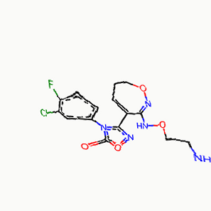 NCCONC1=NOCCC=C1c1noc(=O)n1-c1ccc(F)c(Cl)c1